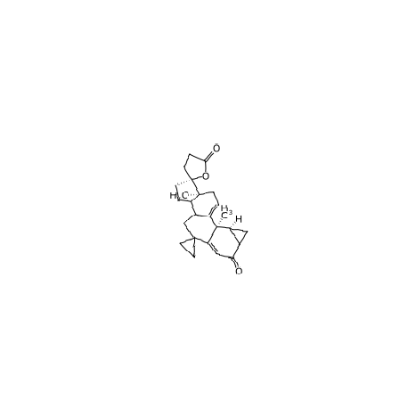 C[C@@]12C3=CC[C@@]4(C)C(CC[C@@]45CCC(=O)O5)C3CC3(CC3)C1=CC(=O)C1C[C@@H]12